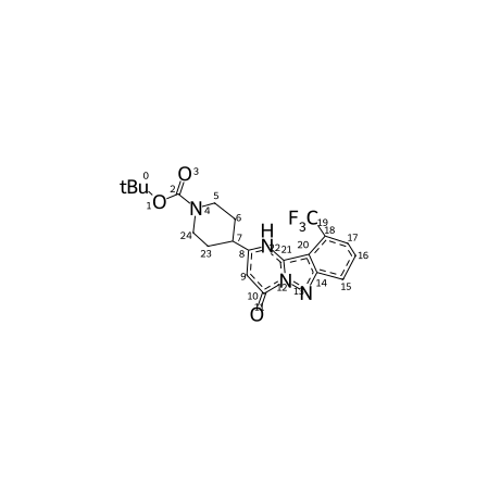 CC(C)(C)OC(=O)N1CCC(c2cc(=O)n3nc4cccc(C(F)(F)F)c4c3[nH]2)CC1